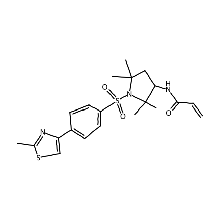 C=CC(=O)NC1CC(C)(C)N(S(=O)(=O)c2ccc(-c3csc(C)n3)cc2)C1(C)C